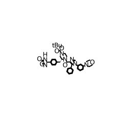 CC(C)(C)OC(=O)N1CCN(C(=O)c2ncn(-c3cccc(N4CCOCC4)c3)c2-c2ccccc2)[C@H](Cc2ccc(-c3noc(=O)[nH]3)cc2)C1